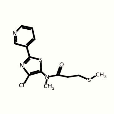 CSCCC(=O)N(C)c1sc(-c2cccnc2)nc1Cl